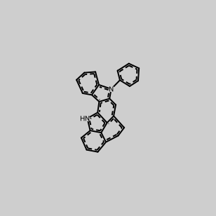 c1ccc(-n2c3ccccc3c3c4[nH]c5cccc6ccc(cc32)c4c65)cc1